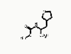 CC(C)(C)OC(=O)NC(CC1CCOC1)C(=O)O